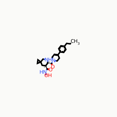 CCCc1ccc(C2=CCN(C(=O)[C@H]3NCC4(CC4)C[C@@H]3C(=O)NO)CC2)cc1